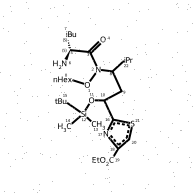 CCCCCCON(C(=O)[C@@H](N)[C@@H](C)CC)C(CC(O[Si](C)(C)C(C)(C)C)c1nc(C(=O)OCC)cs1)C(C)C